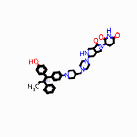 CC/C(=C(\c1ccc(O)cc1)c1ccc(N2CCC(CN3CCN(C4CC5CN(C6CCC(=O)NC6=O)C(=O)C5CN4)CC3)CC2)cc1)c1ccccc1